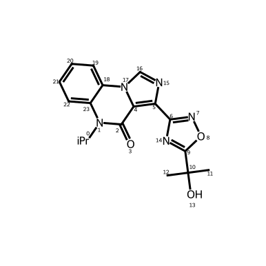 CC(C)n1c(=O)c2c(-c3noc(C(C)(C)O)n3)ncn2c2ccccc21